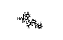 O=C(O)NCC(NC(=O)c1c(C2CC2)nc2c(OCc3c(F)cccc3F)cccn12)c1ccc(F)c(F)c1